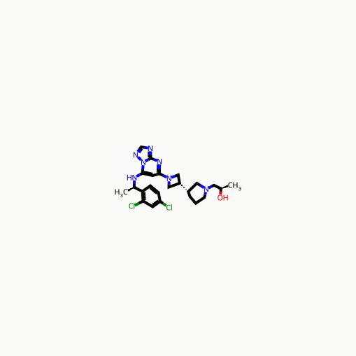 C[C@@H](O)CN1CCC[C@H](C2CN(c3cc(N[C@H](C)c4ccc(Cl)cc4Cl)n4ncnc4n3)C2)C1